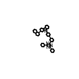 c1ccc(-c2nc(-c3ccccc3)nc(-c3cccc(-c4ccc(-n5c6ccccc6c6ccc(-c7cccc8ccccc78)cc65)cc4)c3)n2)cc1